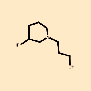 CC(C)C1CCCN(CCCO)C1